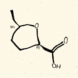 C[C@@H]1CC[C@H](C(=O)O)O1